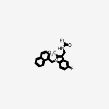 CCC(=O)NCc1c(C(=O)O)n(Cc2cccc3ccccc23)c2ccc(F)cc12